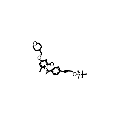 Cc1cc(OCC2CCOCC2)cc(=O)n1[C@H](C)c1ccc(C#CCO[Si](C)(C)C(C)(C)C)cc1